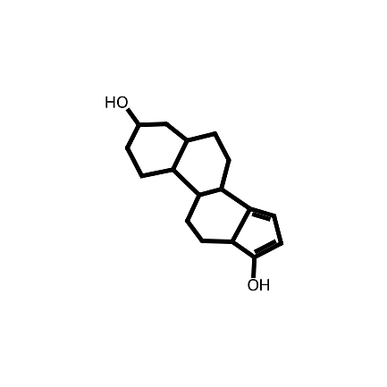 OC1=CC=C2C1CCC1C2CCC2CC(O)CCC21